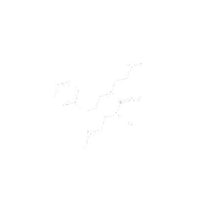 CCN(CC)CCN(C#N)C(=N)N(CCOc1ccccc1)CCN(CC)CC